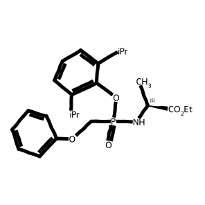 CCOC(=O)[C@H](C)NP(=O)(COc1ccccc1)Oc1c(C(C)C)cccc1C(C)C